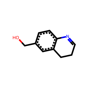 OCc1ccc2c(c1)CCC=N2